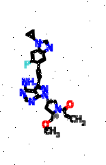 C=CC(=O)N1C[C@@H](n2nc(C#Cc3cc4ncn(C5CC5)c4cc3F)c3c(N)ncnc32)C[C@@H]1COC